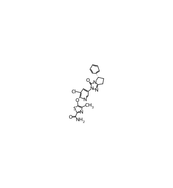 Cc1nc(C(N)=O)sc1Oc1ncc(-n2nc3n(c2=O)[C@H](c2ccccc2)CC3)cc1Cl